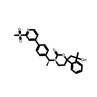 C[C@@H](c1ccc(-c2ccnc(S(C)(=O)=O)c2)cc1)N1CCC(CC(C)(C)O)(c2ccccc2)OC1=O